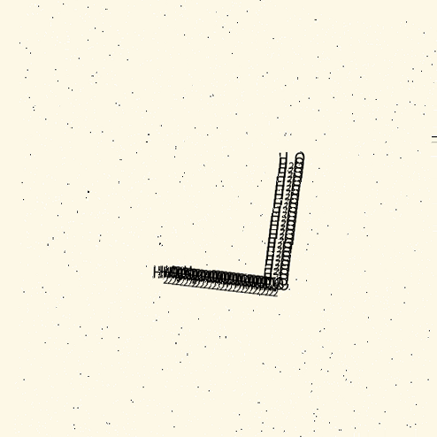 O.O.O.O.O.O.O.O.O.O.O.O.O.O.O.O.O.O.O.O.O.O.O.O.O.O.O.O.O.O.O.O.O.O.O.O.O.O.O.O.O.O.O.O.O.O.O.O.O.O.O.O.O.O.O.O.[MgH2]